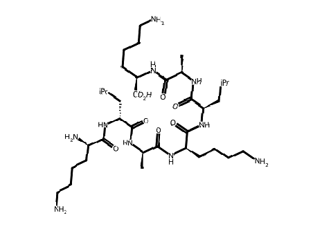 CC(C)C[C@@H](NC(=O)[C@H](N)CCCCN)C(=O)N[C@H](C)C(=O)N[C@H](CCCCN)C(=O)N[C@H](CC(C)C)C(=O)N[C@H](C)C(=O)N[C@H](CCCCN)C(=O)O